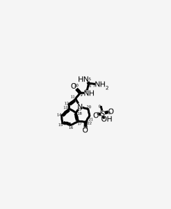 CS(=O)(=O)O.N=C(N)NC(=O)c1cc2cccc3c2n1CCC3=O